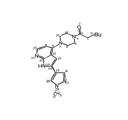 CCC(C)CC(=O)N1CCN(c2ccnc3[nH]c(-c4cnn(C)c4)cc23)CC1